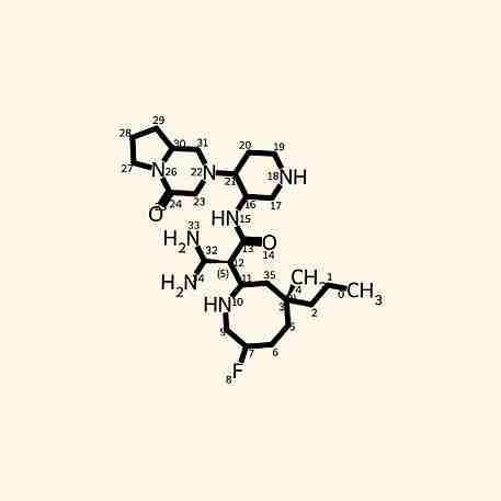 CCC[C@]1(C)CCC(F)CNC([C@H](C(=O)NC2CNCCC2N2CC(=O)N3CCCC3C2)C(N)N)C1